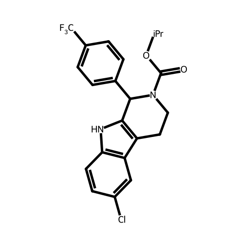 CC(C)OC(=O)N1CCc2c([nH]c3ccc(Cl)cc23)C1c1ccc(C(F)(F)F)cc1